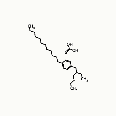 CCCCCCCCCCCCc1ccc(CC(CC)CCCC)cc1.OC(O)=S